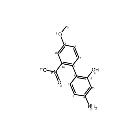 COc1ccc(-c2ccc(N)cc2O)c([N+](=O)[O-])c1